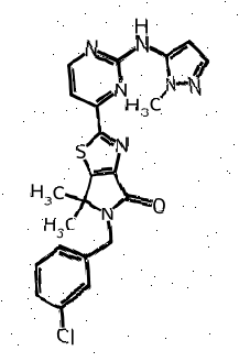 Cn1nccc1Nc1nccc(-c2nc3c(s2)C(C)(C)N(Cc2cccc(Cl)c2)C3=O)n1